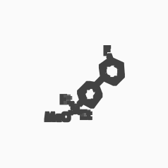 CC[Si](CC)(OC)c1ccc(-c2cccc(F)c2)cc1